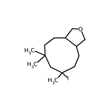 CC1(C)CCC2COCC2CCC(C)(I)C1